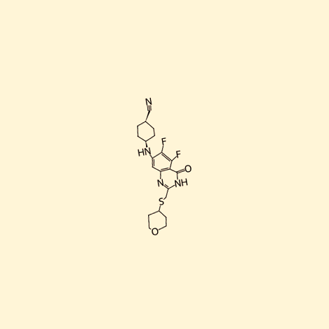 N#C[C@H]1CC[C@@H](Nc2cc3nc(CSC4CCOCC4)[nH]c(=O)c3c(F)c2F)CC1